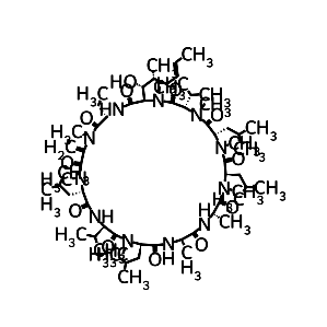 C=C1C(=O)N(C)[C@@H](CC(C)C)C(=O)N[C@H](C(C)C)C(=O)N(C)[C@H](CC(C)C)C(=O)N[C@H](C)C(=O)N[C@@H](C)C(=O)N(C)[C@H](CC(C)C)C(=O)N(C)[C@@H](CC(C)C)C(=O)N(C)[C@@H](C(C)C)C(=O)N(C)C([C@H](O)[C@H](C)C/C=C/C)C(=O)N[C@@H](CC)C(=O)N1C